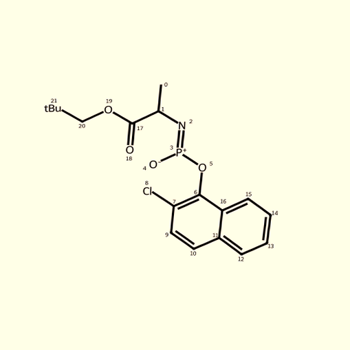 CC(/N=[P+](\[O-])Oc1c(Cl)ccc2ccccc12)C(=O)OCC(C)(C)C